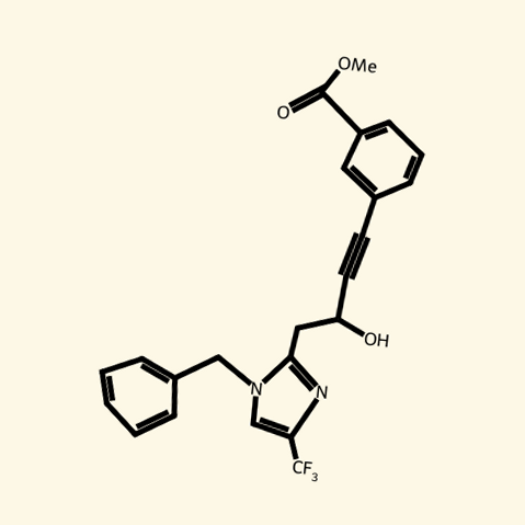 COC(=O)c1cccc(C#CC(O)Cc2nc(C(F)(F)F)cn2Cc2ccccc2)c1